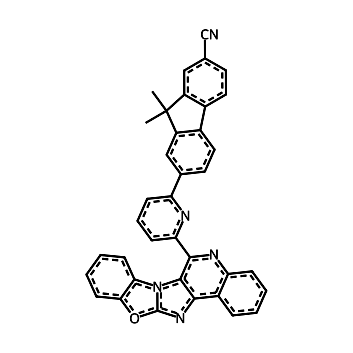 CC1(C)c2cc(C#N)ccc2-c2ccc(-c3cccc(-c4nc5ccccc5c5nc6oc7ccccc7n6c45)n3)cc21